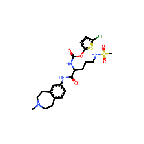 CN1CCc2ccc(NC(=O)C(CCCNS(C)(=O)=O)NC(=O)Oc3ccc(Cl)s3)cc2CC1